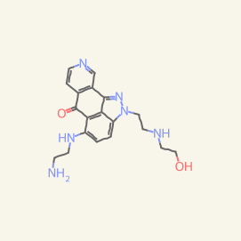 NCCNc1ccc2c3c(nn2CCNCCO)-c2cnccc2C(=O)c13